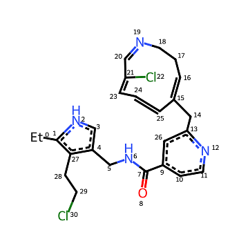 CCc1[nH]cc(CNC(=O)c2ccnc(CC3=C\CC\N=C/C(Cl)=C/C=C/3)c2)c1CCCl